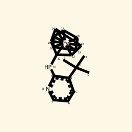 CC(C)(C)c1cccnc1P[C]12[CH]3[CH]4[CH]5[CH]1[Fe]45321678[CH]2[CH]1[CH]6[CH]7[CH]28